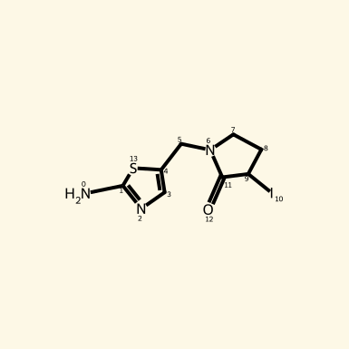 Nc1ncc(CN2CCC(I)C2=O)s1